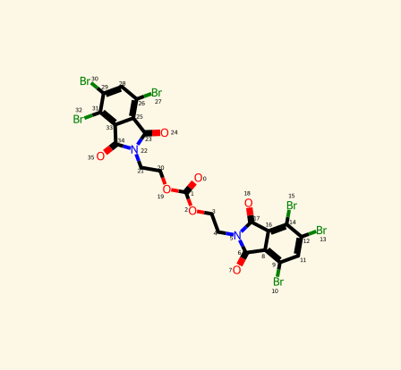 O=C(OCCN1C(=O)c2c(Br)cc(Br)c(Br)c2C1=O)OCCN1C(=O)c2c(Br)cc(Br)c(Br)c2C1=O